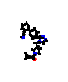 N#Cc1ccccc1-c1ccc(-c2nncn2C[C@@H]2CCN(C(=O)C3CC3)C2)cc1